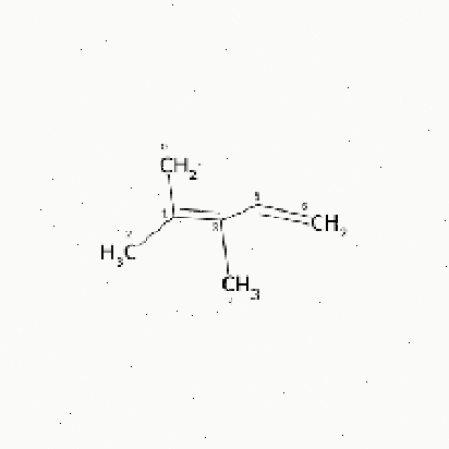 [CH2]C(C)=C(C)C=C